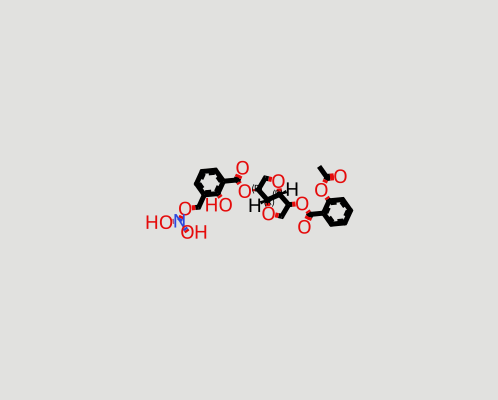 CC(=O)Oc1ccccc1C(=O)OC1CO[C@H]2[C@@H]1OC[C@H]2OC(=O)c1cccc(CON(O)O)c1O